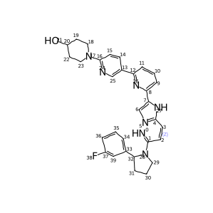 N=C(/C=C\c1ncc(-c2cccc(-c3ccc(N4CCC(O)CC4)nc3)n2)[nH]1)N1CCCC1c1cccc(F)c1